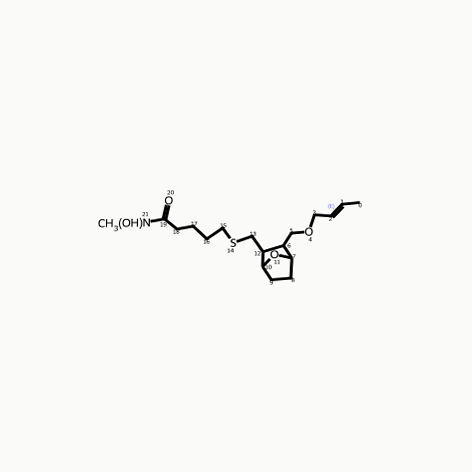 C/C=C/COCC1C2CCC(O2)C1CSCCCCC(=O)N(C)O